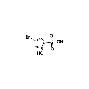 Cl.O=S(=O)(O)c1cc(Br)cs1